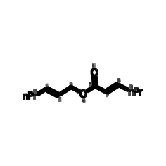 CCCC=CCOC(=O)C=CCCC